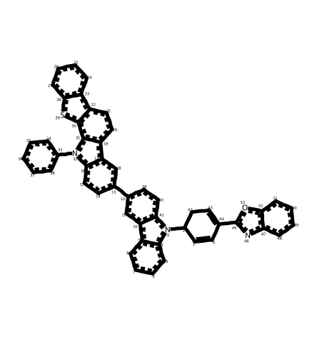 C1=CC(n2c3ccccc3c3cc(-c4ccc5c(c4)c4ccc6c7ccccc7sc6c4n5-c4ccccc4)ccc32)CC=C1c1nc2ccccc2o1